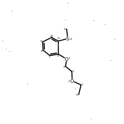 CCOCCOc1ccccc1SC